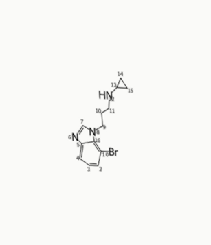 Brc1cccc2ncn(CCCNC3CC3)c12